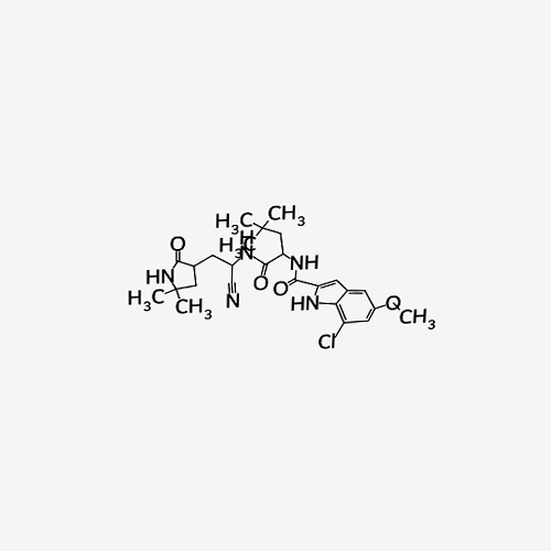 COc1cc(Cl)c2[nH]c(C(=O)NC(CC(C)(C)C)C(=O)NC(C#N)CC3CC(C)(C)NC3=O)cc2c1